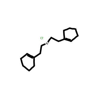 C1=C(C[CH2][Al+][CH2]CC2=CCCCC2)CCCC1.[Cl-]